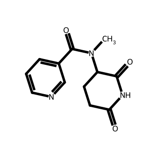 CN(C(=O)c1cccnc1)C1CCC(=O)NC1=O